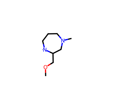 COCC1CN(C)CCC[N]1